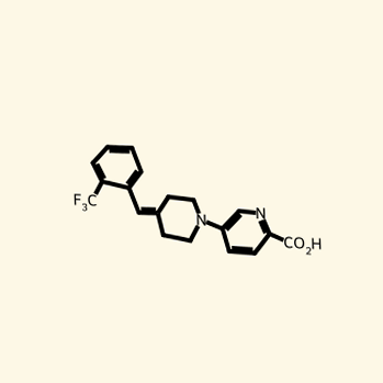 O=C(O)c1ccc(N2CCC(=Cc3ccccc3C(F)(F)F)CC2)cn1